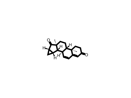 C[C@]12CCC(=O)C=C1C=C[C@H]1[C@@H]3[C@@H]4C[C@@H]4C(=O)[C@@]3(C)CC[C@@H]12